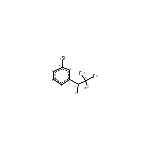 CC(c1cccc(S)c1)C(F)(F)F